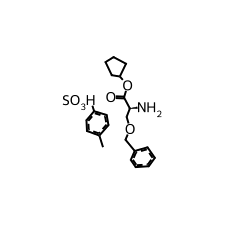 Cc1ccc(S(=O)(=O)O)cc1.N[C@@H](COCc1ccccc1)C(=O)OC1CCCC1